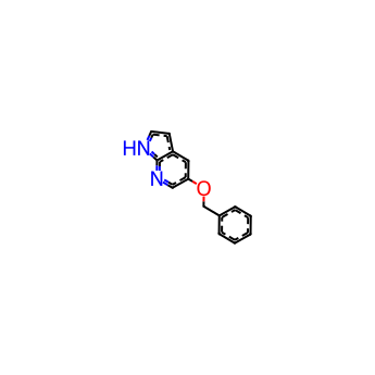 c1ccc(COc2cnc3[nH]ccc3c2)cc1